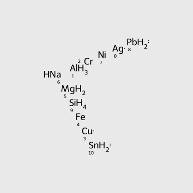 [Ag].[AlH3].[Cr].[Cu].[Fe].[MgH2].[NaH].[Ni].[PbH2].[SiH4].[SnH2]